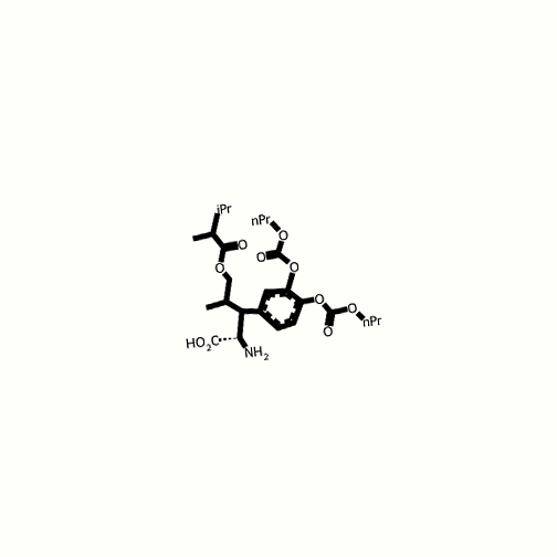 CCCOC(=O)Oc1ccc(C(C(C)COC(=O)C(C)C(C)C)[C@H](N)C(=O)O)cc1OC(=O)OCCC